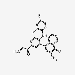 C=CC(=O)c1ccc(Nc2ccc(F)cc2F)c(-c2cn(C)c(=O)c3ccccc23)c1